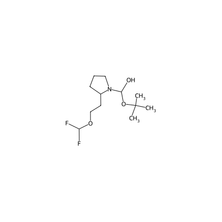 CC(C)(C)OC(O)N1CCCC1CCOC(F)F